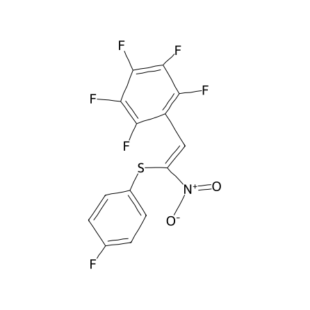 O=[N+]([O-])C(=Cc1c(F)c(F)c(F)c(F)c1F)Sc1ccc(F)cc1